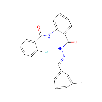 Cc1cccc(C=NNC(=O)c2ccccc2NC(=O)c2ccccc2F)c1